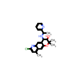 Cc1cc(Cl)nc2cc3c(cc12)OC(C)(C)C(O)C3NC(C)c1ccccn1